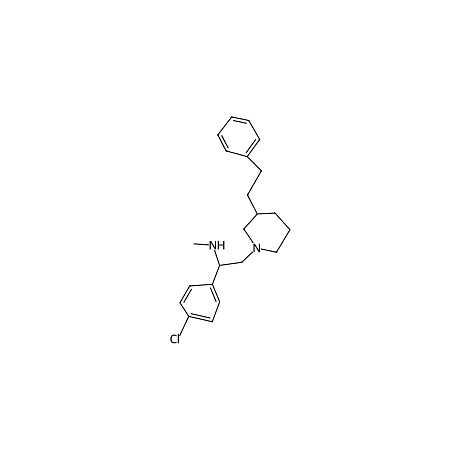 CNC(CN1CCCC(CCc2ccccc2)C1)c1ccc(Cl)cc1